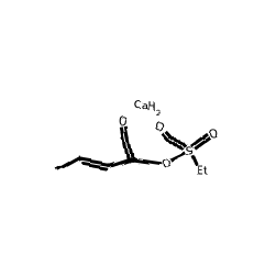 CC=CC(=O)OS(=O)(=O)CC.[CaH2]